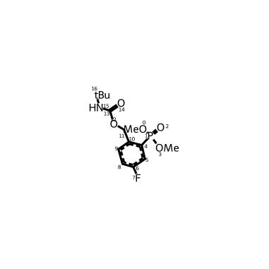 COP(=O)(OC)c1cc(F)ccc1COC(=O)NC(C)(C)C